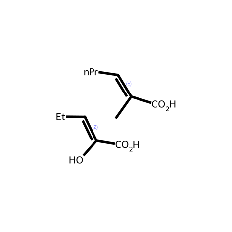 CC/C=C(\O)C(=O)O.CCC/C=C(\C)C(=O)O